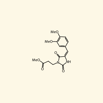 COC(=O)CCN1C(=O)NC(=Cc2ccc(OC)c(OC)c2)C1=O